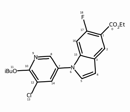 CCOC(=O)c1cc2ccn(-c3cnc(OCC(C)C)c(Cl)c3)c2cc1F